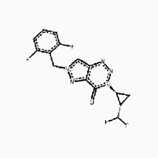 O=c1c2nn(Cc3c(F)cccc3F)cc2nnn1[C@H]1C[C@@H]1C(F)F